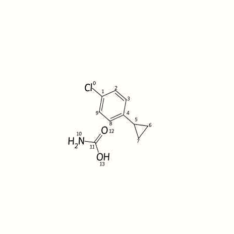 Clc1ccc(C2CC2)cc1.NC(=O)O